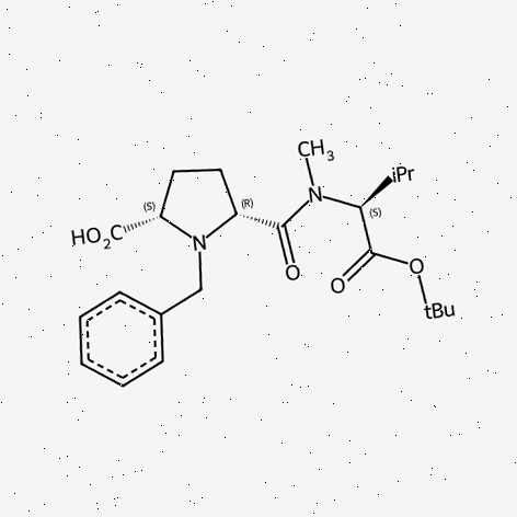 CC(C)[C@@H](C(=O)OC(C)(C)C)N(C)C(=O)[C@H]1CC[C@@H](C(=O)O)N1Cc1ccccc1